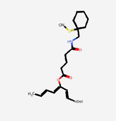 C/C=C/C=C(/C=C/CCCCCCCCCC)OC(=O)CCCC(=O)NCC1(SN=O)CCCCC1